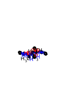 CC(C)[C@@H](NC(=O)N1CCN(c2ccccc2)CC1)C(=O)N[C@H](Cc1ccccc1)[C@H](O)[C@@H](O)[C@@H](Cc1ccccc1)NC(=O)[C@H](NC(=O)N1CCN(c2ccccc2)CC1)C(C)C